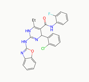 CCC1=C(C(=O)Nc2ccccc2F)C(c2ccccc2Cl)N=C(Nc2nc3ccccc3o2)N1